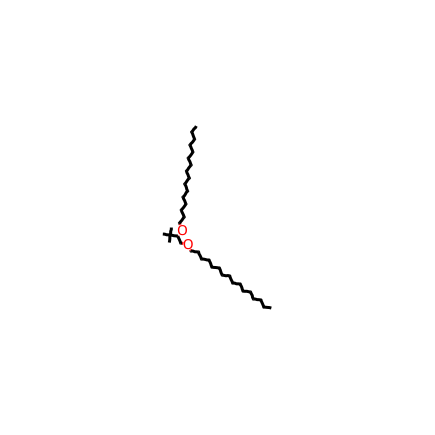 CCCCCCCCCCCCCCCCOCC(OCCCCCCCCCCCCCCCC)C(C)(C)C